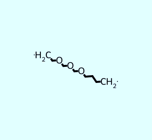 [CH2]CCCOCOCOC[CH2]